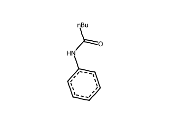 CC[CH]CC(=O)Nc1ccccc1